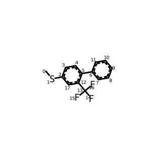 CSc1ccc(-c2ccccc2)c(C(F)(F)F)c1